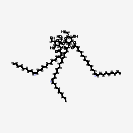 CCCCCCCC/C=C\CCCCCCCCCCCC(=O)O[C@H]1[C@@H](O[C@]2(CO)O[C@H](CO)[C@@H](O)[C@@H]2OC(=O)CCCCCCCCCCC/C=C\CCCCCCCC)O[C@H](CO)[C@@H](O)[C@@H]1OC(=O)CCCCCCCCCCC/C=C\CCCCCCCC